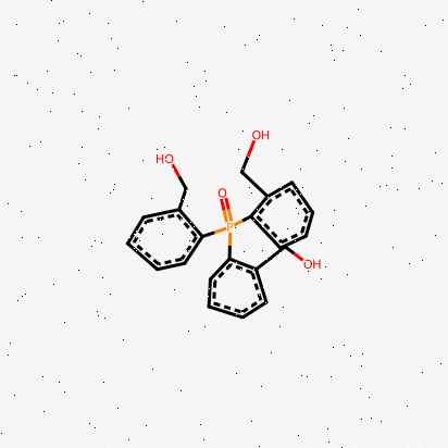 O=P(c1ccccc1CO)(c1ccccc1CO)c1ccccc1CO